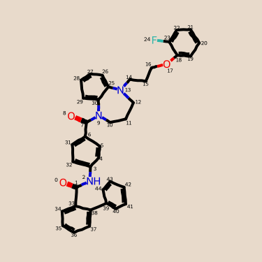 O=C(Nc1ccc(C(=O)N2CCCN(CCCOc3ccccc3F)c3ccccc32)cc1)c1ccccc1-c1ccccc1